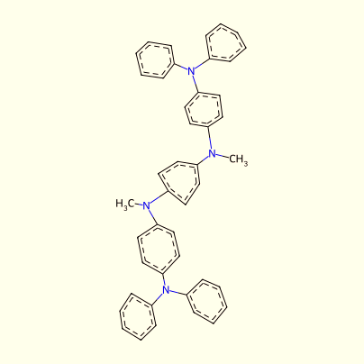 CN(c1ccc(N(C)c2ccc(N(c3ccccc3)c3ccccc3)cc2)cc1)c1ccc(N(c2ccccc2)c2ccccc2)cc1